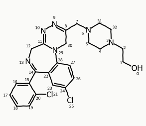 OCCN1CCN(CC2=NN=C3CN=C(c4ccccc4Cl)c4cc(Cl)ccc4N3C2)CC1